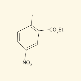 CCOC(=O)c1cc([N+](=O)[O-])ccc1C